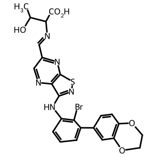 CC(O)C(N=Cc1cnc2c(Nc3cccc(-c4ccc5c(c4)OCCO5)c3Br)nsc2n1)C(=O)O